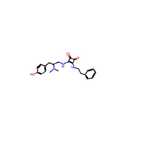 CN(C)C(CNc1c(NCCc2ccccc2)c(=O)c1=O)Cc1ccc(O)cc1